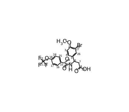 COc1ccc(C(CC(=O)O)NS(=O)(=O)c2ccc(OC(F)(F)F)cc2)cc1Br